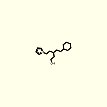 OCCC(C[CH]n1cccc1)CCC1CCCCC1